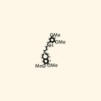 COc1cc(CNCCCN2CCc3cc(OC)c(OC)cc3CC2)cc(OC)c1